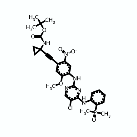 COc1cc(C#CC2(NC(=O)OC(C)(C)C)CC2)c([N+](=O)[O-])cc1Nc1ncc(Cl)c(Nc2ccccc2P(C)(C)=O)n1